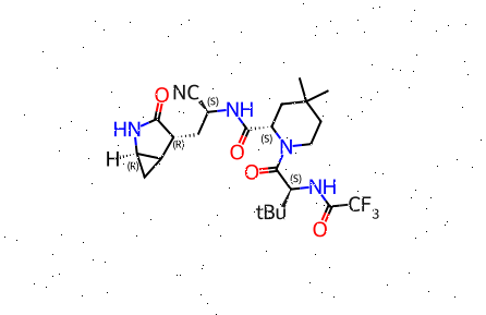 CC1(C)CCN(C(=O)[C@@H](NC(=O)C(F)(F)F)C(C)(C)C)[C@H](C(=O)N[C@H](C#N)C[C@H]2C(=O)N[C@@H]3CC32)C1